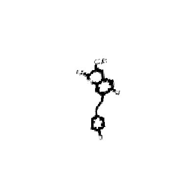 CCOC(=O)C1=Cc2cc(Cl)c(CCc3ccc(Cl)cc3)cc2OC1C(F)(F)F